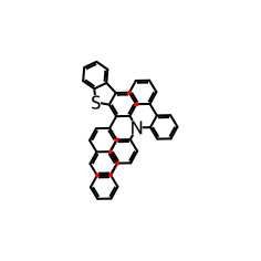 c1ccc(-c2ccc(N(c3ccccc3-c3ccccc3)c3ccc4c(sc5ccccc54)c3-c3ccc4ccccc4c3)cc2)cc1